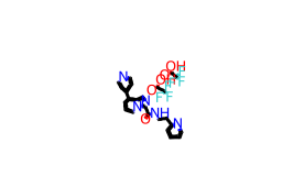 O=C(NCCc1ccccn1)c1ncc2c(-c3ccncc3)cccn12.O=C(O)C(F)(F)F.O=C(O)C(F)(F)F